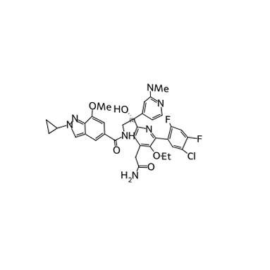 CCOc1c(CC(N)=O)cc([C@@](O)(CNC(=O)c2cc(OC)c3nn(C4CC4)cc3c2)c2ccnc(NC)c2)nc1-c1cc(Cl)c(F)cc1F